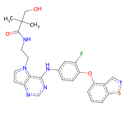 CC(C)(CO)C(=O)NCCn1ccc2ncnc(Nc3ccc(Oc4cccc5sncc45)c(F)c3)c21